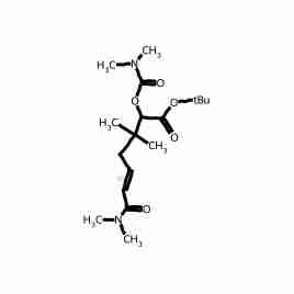 CN(C)C(=O)/C=C/CC(C)(C)C(OC(=O)N(C)C)C(=O)OC(C)(C)C